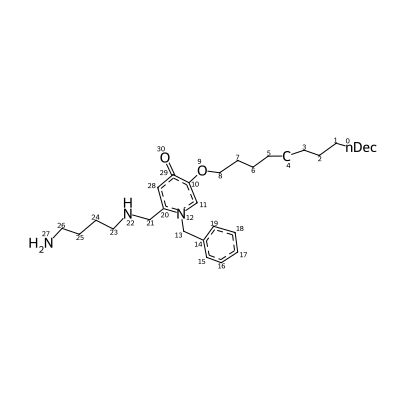 CCCCCCCCCCCCCCCCCCOc1cn(Cc2ccccc2)c(CNCCCCN)cc1=O